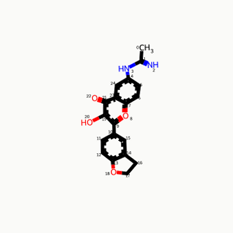 CC(=N)Nc1ccc2oc(-c3ccc4c(c3)CCO4)c(O)c(=O)c2c1